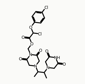 CC(C(C)N1CC(=O)N(COC(=O)C(Cl)Oc2ccc(Cl)cc2)C(=O)C1)N1CC(=O)NC(=O)C1